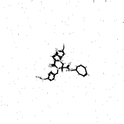 CCOc1ccc(CN2C(=O)c3cc4oc(C)cc4n3CC2(C)C(=O)NC2CCCCCC2)cc1